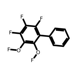 FOc1c(F)c(F)c(F)c(-c2ccccc2)c1OF